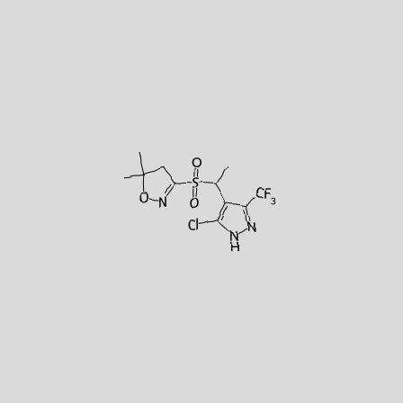 CC(c1c(C(F)(F)F)n[nH]c1Cl)S(=O)(=O)C1=NOC(C)(C)C1